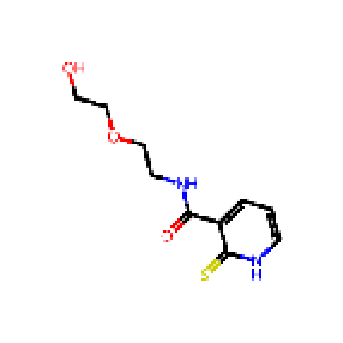 O=C(NCCOCCO)c1ccc[nH]c1=S